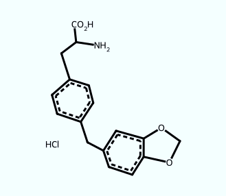 Cl.NC(Cc1ccc(Cc2ccc3c(c2)OCO3)cc1)C(=O)O